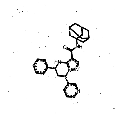 O=C(NC12CC3CC(CC(C3)C1)C2)c1cnn2c1NC(c1ccccc1)CC2c1cccnc1